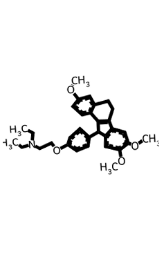 CCN(CC)CCOc1ccc(C2C3=C(CCc4cc(OC)ccc43)c3cc(OC)c(OC)cc32)cc1